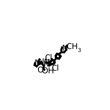 CCN1CCC(c2ccc(-c3cc(Cl)c4cn(C(C(=O)O)c5ncn6c5CCC6)nc4c3Cl)cc2)CC1